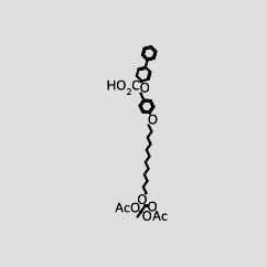 CC(=O)OC(C)(OC(C)=O)C(=O)OCCCCCCCCCCCCOc1ccc(COC2(C(=O)O)C=CC(c3ccccc3)=CC2)cc1